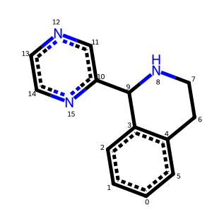 c1ccc2c(c1)CCNC2c1cnccn1